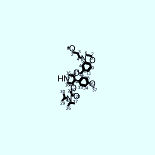 COCCCN1CCOc2ccc(CO[C@H]3CNC[C@@H](OCC(=O)N(C(C)C)C(C)C)[C@@H]3c3ccc(OC)cc3)cc21